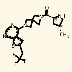 C[C@H]1CN[C@H](C(=O)N2CC3(C2)CN(c2ncnc4sc(CC(F)(F)F)cc24)C3)C1